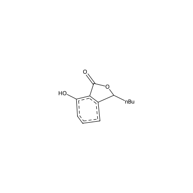 CCCCC1OC(=O)c2c(O)cccc21